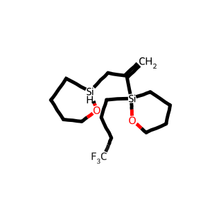 C=C(C[SiH]1CCCCO1)[Si]1(CCCC(F)(F)F)CCCCO1